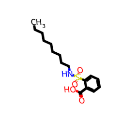 CCCCCCCCCNS(=O)(=O)c1ccccc1C(=O)O